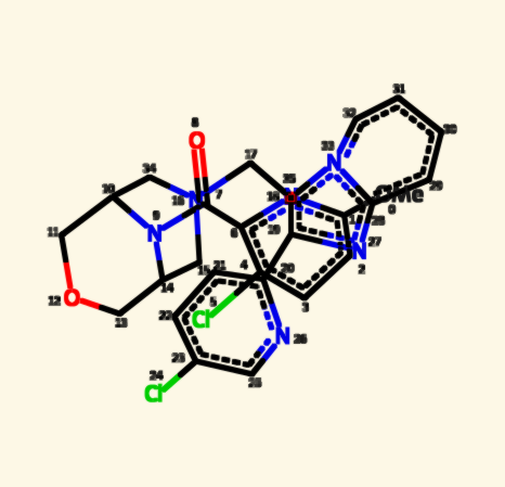 COc1ccc(Cl)c(C(=O)N2C3COCC2CN(Cc2c(-c4ccc(Cl)cn4)nc4ccccn24)C3)n1